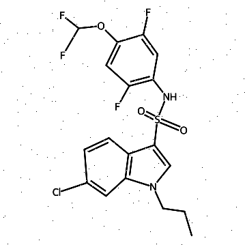 CCCn1cc(S(=O)(=O)Nc2cc(F)c(OC(F)F)cc2F)c2ccc(Cl)cc21